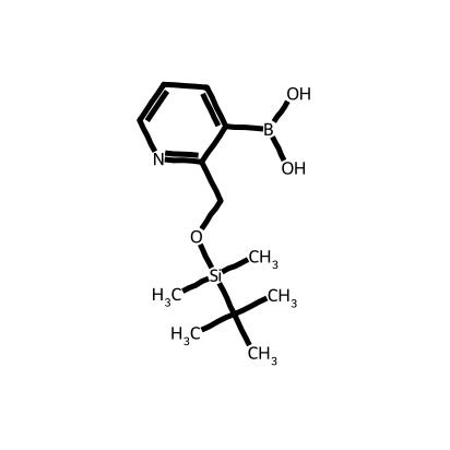 CC(C)(C)[Si](C)(C)OCc1ncccc1B(O)O